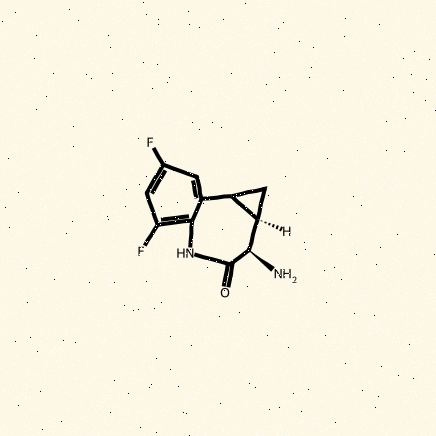 N[C@H]1C(=O)Nc2c(F)cc(F)cc2C2C[C@H]21